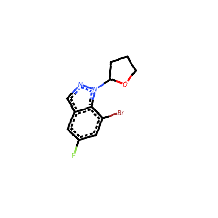 Fc1cc(Br)c2c(cnn2C2CCCO2)c1